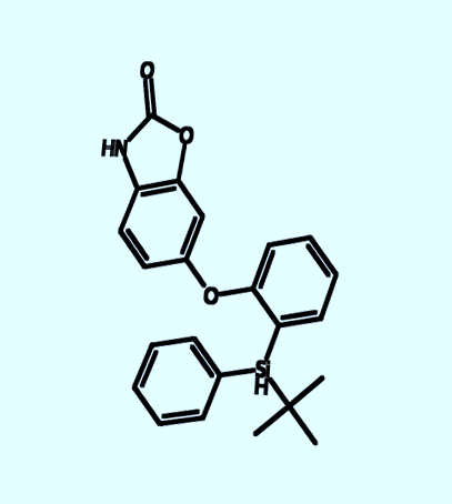 CC(C)(C)[SiH](c1ccccc1)c1ccccc1Oc1ccc2[nH]c(=O)oc2c1